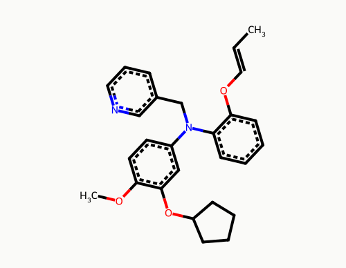 CC=COc1ccccc1N(Cc1cccnc1)c1ccc(OC)c(OC2CCCC2)c1